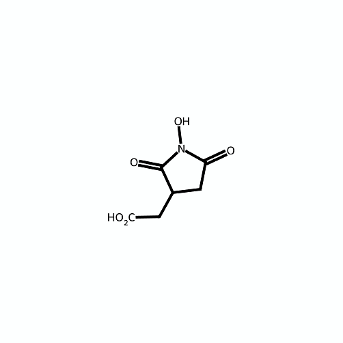 O=C(O)CC1CC(=O)N(O)C1=O